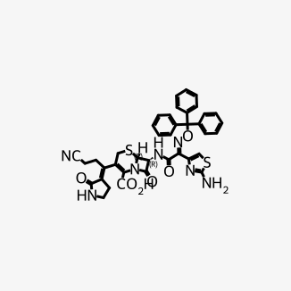 N#CCCC(=C1CCNC1=O)C1=C(C(=O)O)N2C(=O)[C@@H](NC(=O)C(=NOC(c3ccccc3)(c3ccccc3)c3ccccc3)c3csc(N)n3)[C@H]2SC1